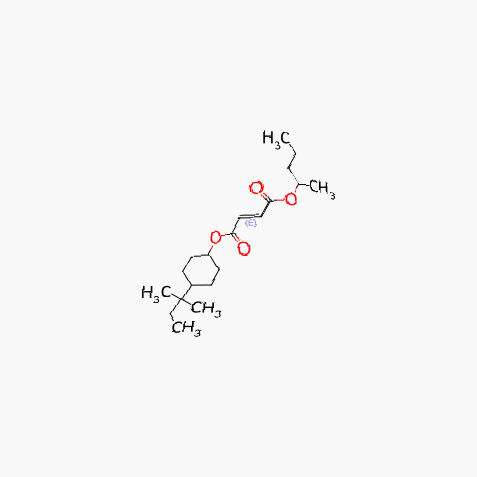 CCCC(C)OC(=O)/C=C/C(=O)OC1CCC(C(C)(C)CC)CC1